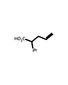 C=CCC(C(=O)O)C(C)C